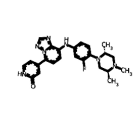 C[C@@H]1CN(C)[C@@H](C)CN1c1ccc(Nc2ccc(-c3cc[nH]c(=O)c3)n3ncnc23)cc1F